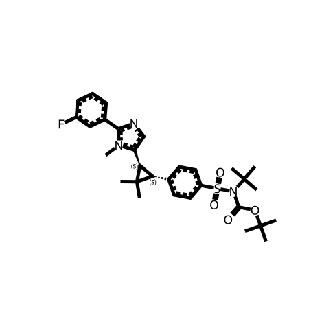 Cn1c([C@H]2[C@H](c3ccc(S(=O)(=O)N(C(=O)OC(C)(C)C)C(C)(C)C)cc3)C2(C)C)cnc1-c1cccc(F)c1